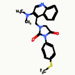 CN(C)c1cnc2ccccc2c1CN1CC(=O)N(c2ccc(SC(F)(F)F)cc2)C1=O